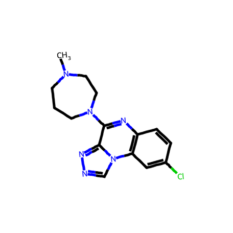 CN1CCCN(c2nc3ccc(Cl)cc3n3cnnc23)CC1